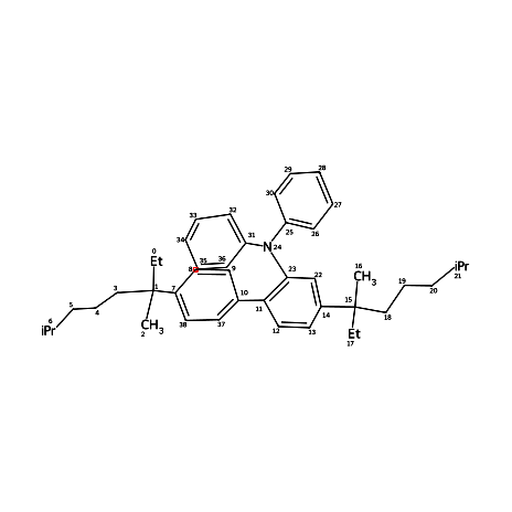 CCC(C)(CCCC(C)C)c1ccc(-c2ccc(C(C)(CC)CCCC(C)C)cc2N(c2ccccc2)c2ccccc2)cc1